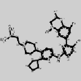 CC(C)N1CC(F)Oc2c(F)cc(-c3nc(Nc4ccc(C5CCN(CCN(C)C)CC5)c(C5CCCC5)n4)ncc3F)cc21